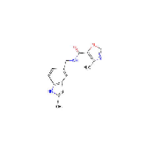 Cc1cc2cc(CNC(=O)c3ocnc3C)ccc2[nH]1